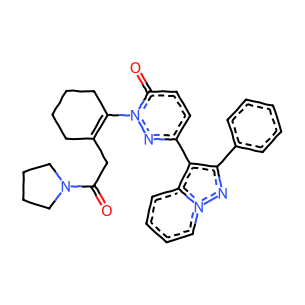 O=C(CC1=C(n2nc(-c3c(-c4ccccc4)nn4ccccc34)ccc2=O)CCCC1)N1CCCC1